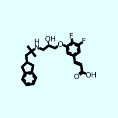 CC(C)(CC1Cc2ccccc2C1)NC[C@@H](O)COc1cc(/C=C/C(=O)O)cc(F)c1F